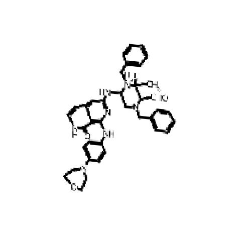 CC1(C)C(C=O)N(Cc2ccccc2)CC(Nc2cc3cc[nH]c(=O)c3c(Nc3ccc(N4CCOCC4)cc3)n2)N1Cc1ccccc1